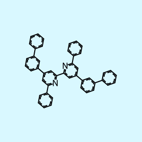 c1ccc(-c2cccc(-c3cc(-c4ccccc4)nc(-c4cc(-c5cccc(-c6ccccc6)c5)cc(-c5ccccc5)n4)c3)c2)cc1